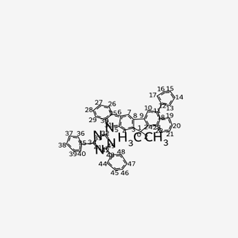 CC1(C)c2cc3c(cc2-c2cc(-c4ccccc4)c4ccccc4c21)c1ccccc1n3-c1nc(-c2ccccc2)nc(-c2ccccc2)n1